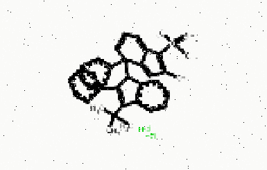 CC1=[C]([Zr]([CH3])([CH3])=[SiH2])C2=CC=CC(c3ccccc3)(C3C(c4ccccc4)=C(C(C)(C)C)c4ccccc43)C2=C1.Cl.Cl